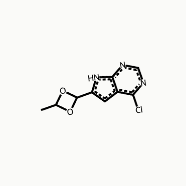 CC1OC(c2cc3c(Cl)ncnc3[nH]2)O1